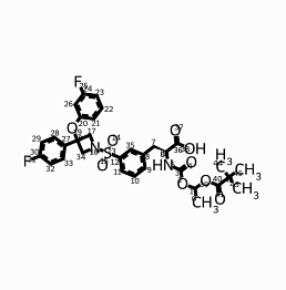 CC(OC(=O)N[C@@H](Cc1cccc(S(=O)(=O)N2CC(Oc3cccc(F)c3)(c3ccc(F)cc3)C2)c1)C(=O)O)OC(=O)C(C)(C)C